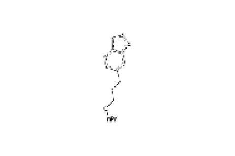 [CH2]CCOCCCc1ccc2ccsc2c1